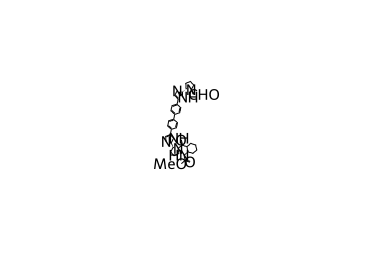 COC(=O)N[C@@H]1CCCCC1C(=O)N1CCC[C@H]1c1ncc(-c2ccc(-c3ccc(-c4cnc([C@@H]5CCCN5C=O)[nH]4)cc3)cc2)[nH]1